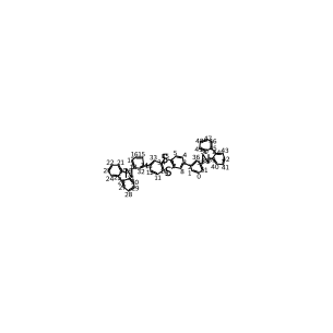 c1cc(-c2ccc3c(c2)Sc2ccc(-c4cccc(-n5c6ccccc6c6ccccc65)c4)cc2S3)cc(-n2c3ccccc3c3ccccc32)c1